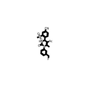 CC(=O)C1=C(C)N(c2cccc(CF)c2)C(=O)NC1c1ccc(C#N)cc1S(C)(=O)=O